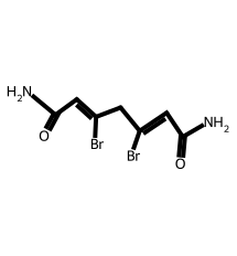 NC(=O)C=C(Br)CC(Br)=CC(N)=O